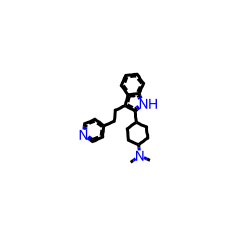 CN(C)C1CCC(c2[nH]c3ccccc3c2CCc2ccncc2)CC1